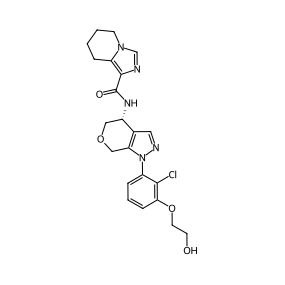 O=C(N[C@H]1COCc2c1cnn2-c1cccc(OCCO)c1Cl)c1ncn2c1CCCC2